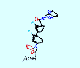 CC(=O)NC[C@H]1CN(c2ccc(-c3ccc(C(=O)NCc4ccccn4)c(F)c3)c(F)c2)C(=O)O1